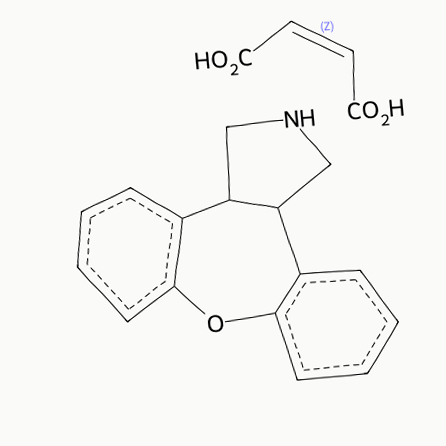 O=C(O)/C=C\C(=O)O.c1ccc2c(c1)Oc1ccccc1C1CNCC21